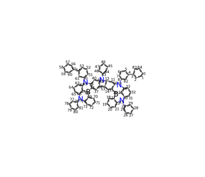 c1ccc(-c2cccc(N3c4cc5c(cc4B4c6ccccc6N(c6ccccc6)c6cccc3c64)c3cc4c(cc3n5-c3ccccc3)N(c3cccc(-c5ccccc5)c3)c3cccc5c3B4c3ccccc3N5c3ccccc3)c2)cc1